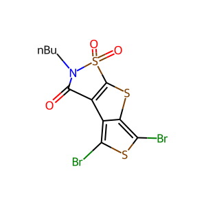 CCCCN1C(=O)c2c(sc3c(Br)sc(Br)c23)S1(=O)=O